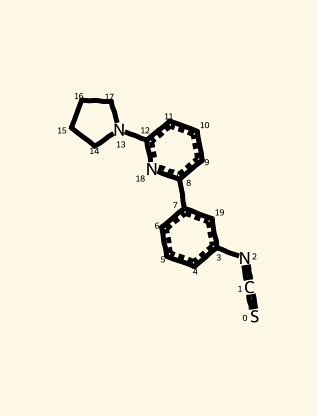 S=C=Nc1cccc(-c2cccc(N3CCCC3)n2)c1